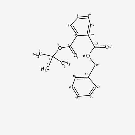 CC(C)(C)OC(=O)c1ccccc1C(=O)OCc1ccccc1